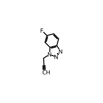 C#CCn1nnc2ccc(F)cc21